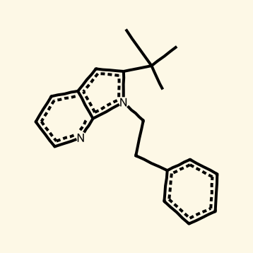 CC(C)(C)c1cc2cccnc2n1CCc1ccccc1